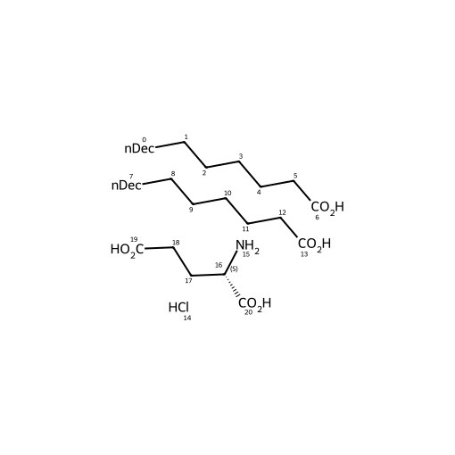 CCCCCCCCCCCCCCCC(=O)O.CCCCCCCCCCCCCCCC(=O)O.Cl.N[C@@H](CCC(=O)O)C(=O)O